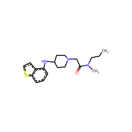 CCCN(C)C(=O)CN1CCC(Nc2cccc3sccc23)CC1